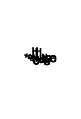 COCCOC(=O)n1ncc2c(NC(=O)N[C@@H]3CCc4cc(C(C)(C)C)ccc43)cccc21